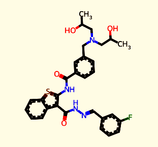 CC(O)CN(Cc1cccc(C(=O)Nc2sc3ccccc3c2C(=O)NN=Cc2cccc(F)c2)c1)CC(C)O